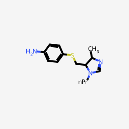 CCCN1C=NC(C)C1CSc1ccc(N)cc1